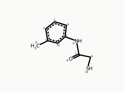 Cc1cccc(NC(=O)CS)c1